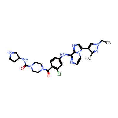 N#CCn1cc(-c2cnc3c(Nc4ccc(C(=O)N5CCN(C(=O)N[C@H]6CCNC6)CC5)c(Cl)c4)nccn23)c(C(F)(F)F)n1